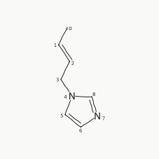 [CH2]C=CCn1ccnc1